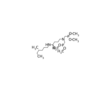 CC[C@H](C)CCCNC(=O)CCCN(CP(OC)OC)CP(OC)OC